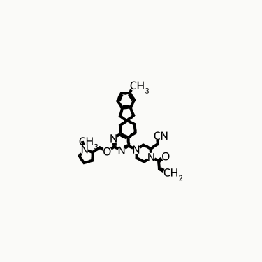 C=CC(=O)N1CCN(c2nc(OCC3CCCN3C)nc3c2CCC2(Cc4ccc(C)cc4C2)C3)CC1CC#N